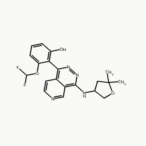 CC1(C)CC(Nc2nnc(-c3c(O)cccc3OC(F)F)c3ccncc23)CO1